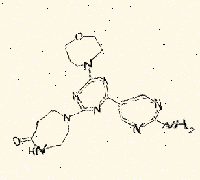 Nc1ncc(-c2nc(N3CCOCC3)nc(N3CCNC(=O)CC3)n2)cn1